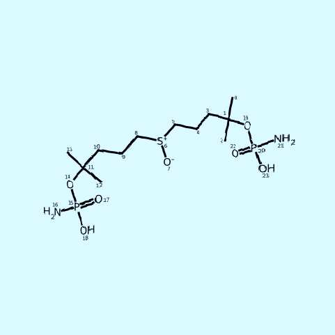 CC(C)(CCC[S+]([O-])CCCC(C)(C)OP(N)(=O)O)OP(N)(=O)O